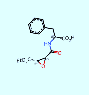 CCOC(=O)[C@H]1O[C@@H]1C(=O)N[C@@H](Cc1ccccc1)C(=O)O